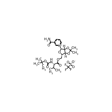 CC(C)[C@H](NC(=O)OC(C)(C)C)C(=O)OC[C@H]1O[C@@H]([n+]2cccc(C(N)=O)c2)[C@@H]2OC(C)(C)O[C@@H]21.O=S(=O)([O-])C(F)(F)F